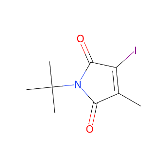 CC1=C(I)C(=O)N(C(C)(C)C)C1=O